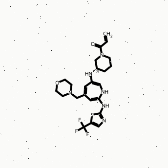 C=CC(=O)N1CCC[C@H](NC2=CNC(Nc3ncc(C(F)(F)F)s3)=CC(CN3CCOCC3)=C2)C1